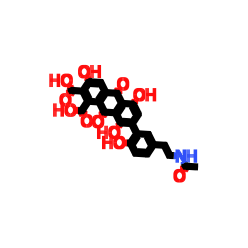 CC(=O)NCCc1ccc(O)c(-c2cc(O)c3c(c2O)C(=O)c2c(cc(O)c(C(=O)O)c2C(=O)O)C3=O)c1